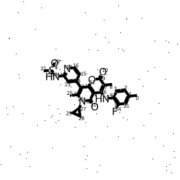 Cc1ccc(Nc2c(C)c(=O)oc3c(-c4ccnc(N[S+](C)[O-])c4)c(C)n(C4CC4)c(=O)c23)c(F)c1